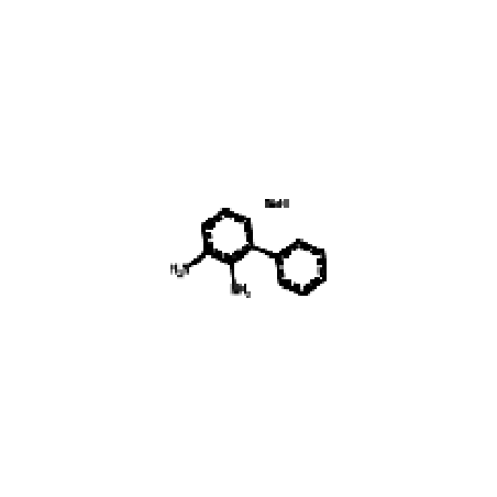 Nc1cccc(-c2ccccc2)c1N.[NaH]